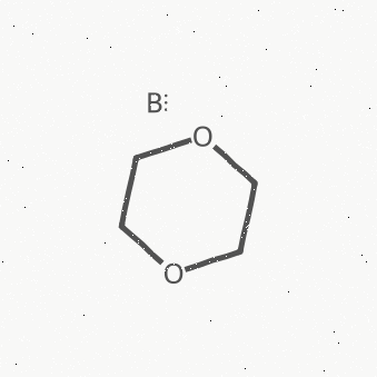 C1COCCO1.[B]